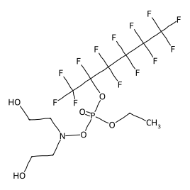 CCOP(=O)(ON(CCO)CCO)OC(F)(C(F)(F)F)C(F)(F)C(F)(F)C(F)(F)C(F)(F)F